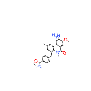 COc1cc(C(=O)N(C)c2ccc(C)cc2Cc2ccc(C3=NCCO3)cc2)ccc1N